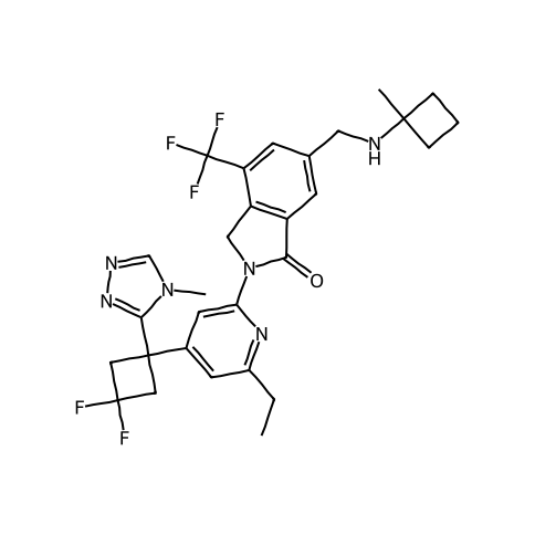 CCc1cc(C2(c3nncn3C)CC(F)(F)C2)cc(N2Cc3c(cc(CNC4(C)CCC4)cc3C(F)(F)F)C2=O)n1